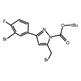 CC(C)(C)OC(=O)n1nc(-c2ccc(F)c(Br)c2)cc1CBr